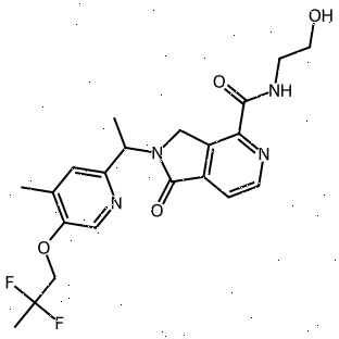 Cc1cc(C(C)N2Cc3c(ccnc3C(=O)NCCO)C2=O)ncc1OCC(C)(F)F